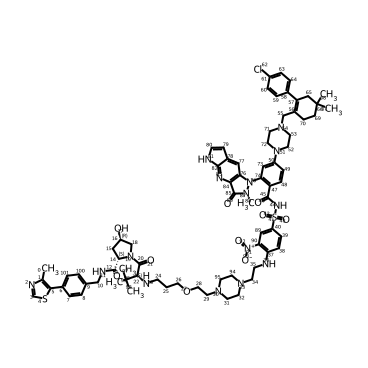 Cc1ncsc1-c1ccc(CNC(=O)[C@@H]2C[C@@H](O)CN2C(=O)[C@@H](NCCCOCCN2CCN(CCNc3ccc(S(=O)(=O)NC(=O)c4ccc(N5CCN(CC6=C(c7ccc(Cl)cc7)CC(C)(C)CC6)CC5)cc4-n4c5cc6cc[nH]c6nc5c(=O)n4C)cc3[N+](=O)[O-])CC2)C(C)(C)C)cc1